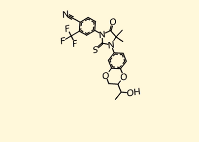 CC(O)C1COc2cc(N3C(=S)N(c4ccc(C#N)c(C(F)(F)F)c4)C(=O)C3(C)C)ccc2O1